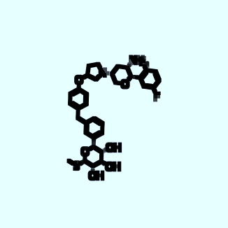 CS[C@H]1O[C@@H](c2cccc(Cc3ccc(OC4CCN([C@H]5CO[C@H](c6cc(F)ccc6F)[C@@H](N)C5)C4)cc3)c2)[C@H](O)[C@@H](O)[C@@H]1O